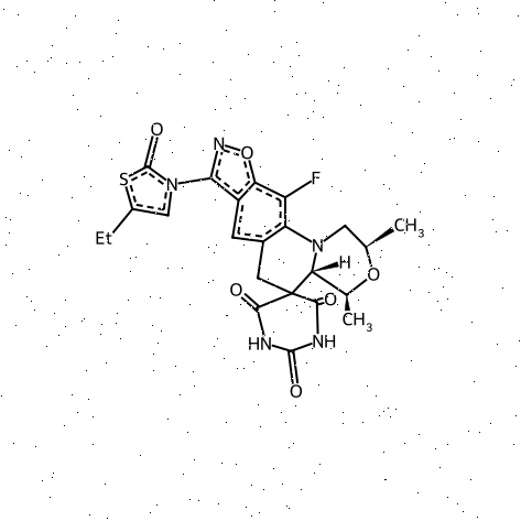 CCc1cn(-c2noc3c(F)c4c(cc23)CC2(C(=O)NC(=O)NC2=O)[C@H]2[C@H](C)O[C@H](C)CN42)c(=O)s1